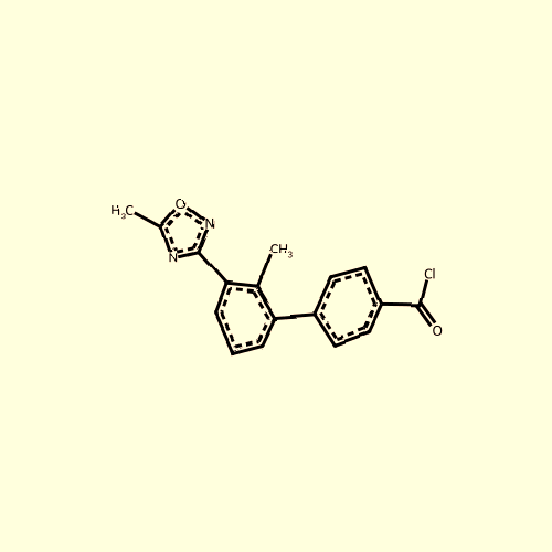 Cc1nc(-c2cccc(-c3ccc(C(=O)Cl)cc3)c2C)no1